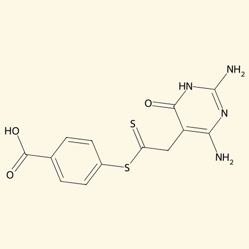 Nc1nc(N)c(CC(=S)Sc2ccc(C(=O)O)cc2)c(=O)[nH]1